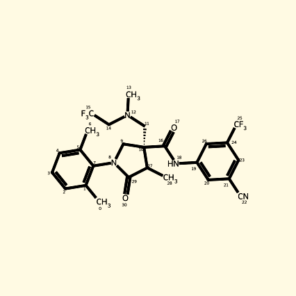 Cc1cccc(C)c1N1C[C@@](CN(C)CC(F)(F)F)(C(=O)Nc2cc(C#N)cc(C(F)(F)F)c2)C(C)C1=O